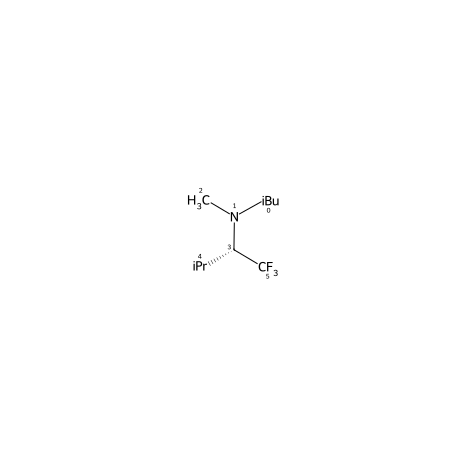 CCC(C)N(C)[C@@H](C(C)C)C(F)(F)F